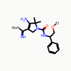 CCOCC(NC(=O)N1CC(C(=N)NC)=C(N)C1(C)C)c1ccccc1